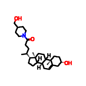 CC(CCC(=O)N1CCC(CO)CC1)[C@H]1CC[C@H]2[C@@H]3CC=C4C[C@@H](O)CC[C@]4(C)[C@H]3CC[C@]12C